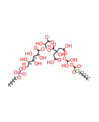 CC(O)C(=O)[O-].O=C(O)CC(O)(CC(=O)O)C(=O)O.O=C(O)O.O=C([O-])[C@H](O)[C@@H](O)[C@H](O)[C@H](O)CO.O=C([O-])[O-].O=P([O-])([O-])[O-].[Cl-].[K+].[K+].[K+].[K+].[K+].[K+].[K+].[K+]